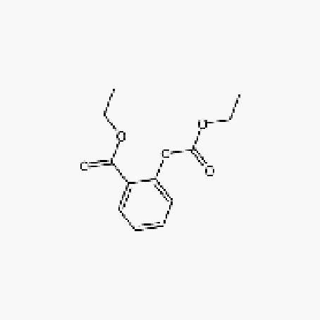 C[CH]OC(=O)Oc1ccccc1C(=O)OCC